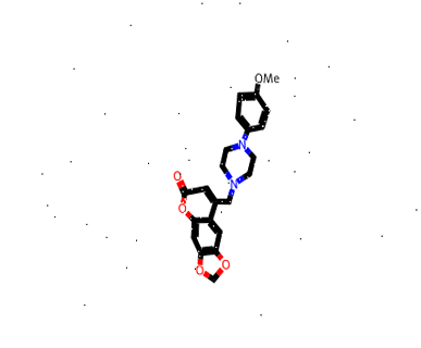 COc1ccc(N2CCN(Cc3cc(=O)oc4cc5c(cc34)OCO5)CC2)cc1